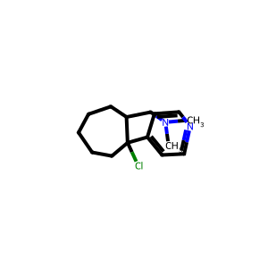 CN(C)CC1CCCCCC1(Cl)c1ccncc1